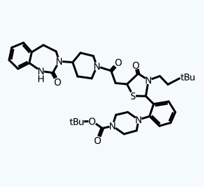 CC(C)(C)CCN1C(=O)C(CC(=O)N2CCC(N3CCc4ccccc4NC3=O)CC2)SC1c1ccccc1N1CCN(C(=O)OC(C)(C)C)CC1